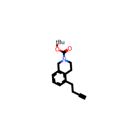 C#CCCc1cccc2c1CCN(C(=O)OC(C)(C)C)C2